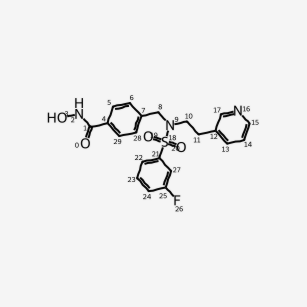 O=C(NO)c1ccc(CN(CCc2cccnc2)S(=O)(=O)c2cccc(F)c2)cc1